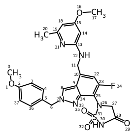 COc1ccc(Cn2cc3c(CNc4cc(OC)cc(C)n4)cc(F)c(N4CC(=O)NS4(=O)=O)c3n2)cc1